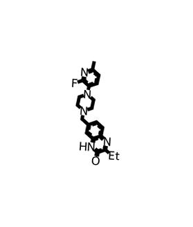 CCc1nc2ccc(CN3CCN(c4ccc(C)nc4F)CC3)cc2[nH]c1=O